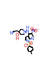 Cc1ccc(S(=O)(=O)n2ccc3c(NN4CCC(O)(CC#N)CC4)c([N+](=O)[O-])cnc32)cc1